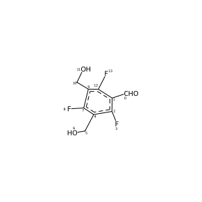 O=Cc1c(F)c(CO)c(F)c(CO)c1F